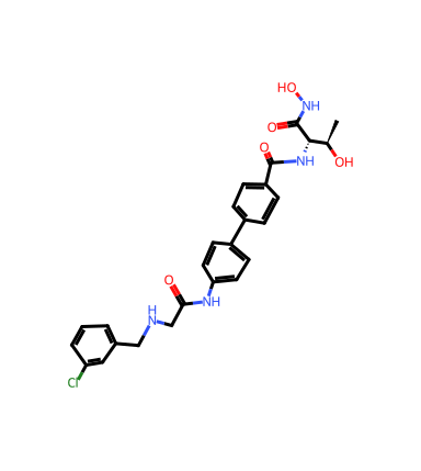 C[C@@H](O)[C@H](NC(=O)c1ccc(-c2ccc(NC(=O)CNCc3cccc(Cl)c3)cc2)cc1)C(=O)NO